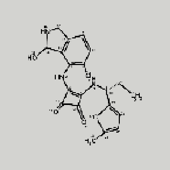 CC[C@@H](Nc1c(Nc2c(Cl)ccc3c2C(O)NC3)c(=O)c1=O)c1ccc(C)o1